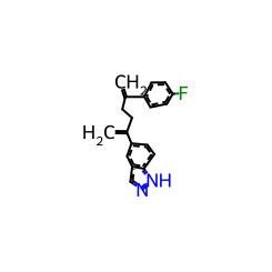 C=C(CCC(=C)c1ccc2[nH]ncc2c1)c1ccc(F)cc1